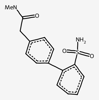 CNC(=O)Cc1ccc(-c2ccccc2S(N)(=O)=O)cc1